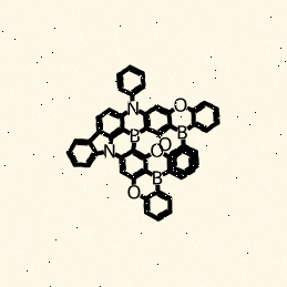 c1ccc(N2c3cc4c5c(c3B3c6c(cc7c8c6Oc6ccccc6B8c6ccccc6O7)-n6c7ccccc7c7ccc2c3c76)Oc2ccccc2B5c2ccccc2O4)cc1